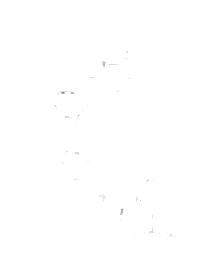 O=C(O)CN1C(=O)/C(=C/c2ccc(Oc3ccc(CC4COCC(=O)N4)cc3)cc2)SC1=S